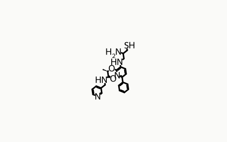 C[C@@H](Oc1nc(-c2ccccc2)ccc1NCC(N)CS)C(=O)NCc1cccnc1